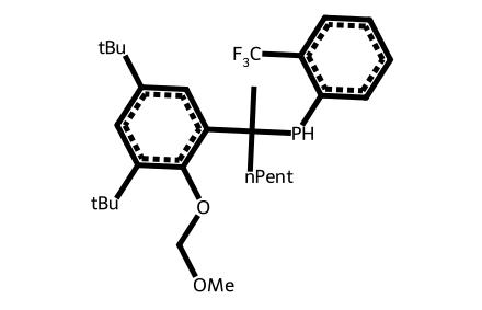 CCCCCC(C)(Pc1ccccc1C(F)(F)F)c1cc(C(C)(C)C)cc(C(C)(C)C)c1OCOC